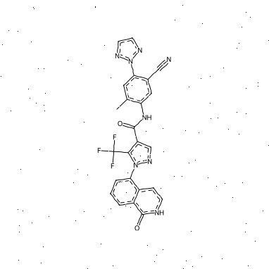 Cc1cc(-n2nccn2)c(C#N)cc1NC(=O)c1cnn(-c2cccc3c(=O)[nH]ccc23)c1C(F)(F)F